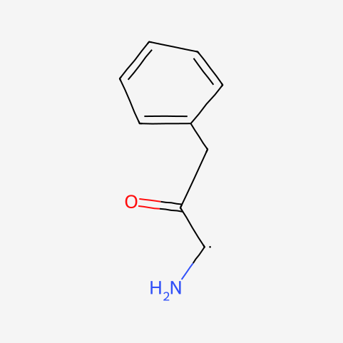 N[CH]C(=O)Cc1ccccc1